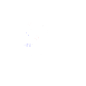 O=C1N=C(NC2CC3CCC2C3)OC1Cc1ccccc1